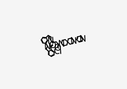 O=C(CCn1ccc2cccc(N3Cc4cccc(Cl)c4C3=O)c21)N1CCC2(CC1)CCN(c1ccncc1)CC2